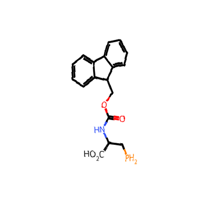 O=C(NC(CP)C(=O)O)OCC1c2ccccc2-c2ccccc21